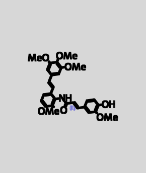 COc1cc(/C=C/C(=O)Nc2c(C=Cc3cc(OC)c(OC)c(OC)c3)cccc2OC)ccc1O